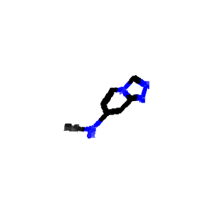 CSNc1ccn2cnnc2c1